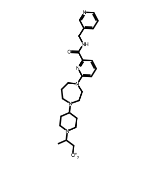 CC(CC(F)(F)F)N1CCC(N2CCCN(c3cccc(C(=O)NCc4cccnc4)n3)CC2)CC1